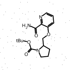 CC(C)(C)OC(=O)N1CCCC1COc1cccnc1C(N)=O